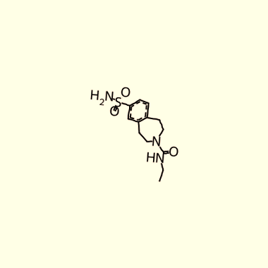 CCNC(=O)N1CCc2ccc(S(N)(=O)=O)cc2CC1